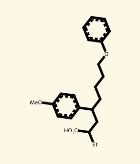 CCC(CC(CCCCOc1ccccc1)c1ccc(OC)cc1)C(=O)O